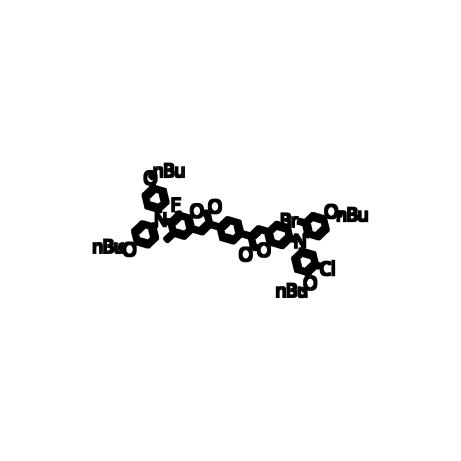 CCCCOc1ccc(N(c2ccc(OCCCC)cc2)c2c(C)cc3cc(-c4ccc(-c5cc6ccc(N(c7ccc(OCCCC)c(Cl)c7)c7ccc(OCCCC)cc7Br)cc6oc5=O)cc4)c(=O)oc3c2F)cc1